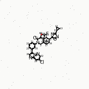 O=C(N(CC12CCC(c3nc(C4CC4)no3)(CC1)CC2)c1cccc(-c2cnc3cc(Cl)cnn23)c1)C12CC(F)(C1)C2